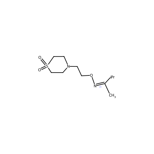 C/C(=N/OCCN1CCS(=O)(=O)CC1)C(C)C